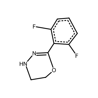 Fc1cccc(F)c1C1=NNCCO1